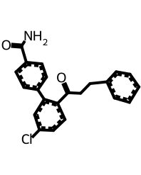 NC(=O)c1ccc(-c2cc(Cl)ccc2C(=O)CCc2ccccc2)cc1